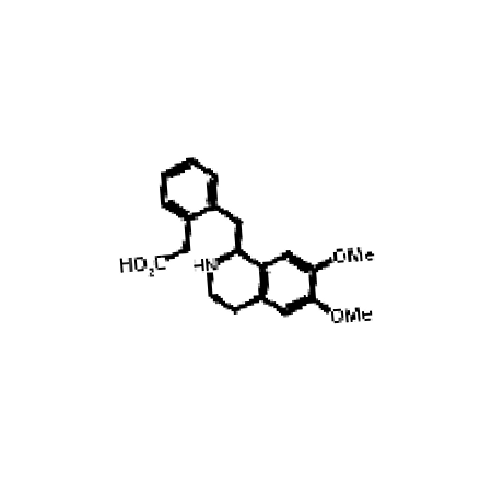 COc1cc2c(cc1OC)C(Cc1ccccc1CC(=O)O)NCC2